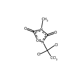 Cn1c(=O)on(C(Cl)(Cl)C(Cl)(Cl)Cl)c1=O